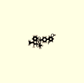 COc1ccc(F)c(C2CCC(C(=O)Oc3cccc([C@H](C4CC4)[C@H](C)C(=O)OC(C)(C)C)c3)CC2)c1